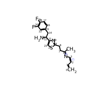 C=C/C=C\N=C(/C)CCc1nc(C(N)Cc2ccc(F)c(F)c2)cs1